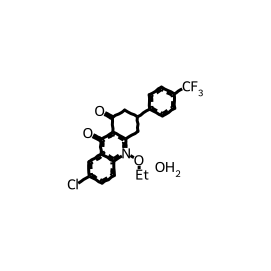 CCOn1c2c(c(=O)c3cc(Cl)ccc31)C(=O)CC(c1ccc(C(F)(F)F)cc1)C2.O